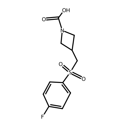 O=C(O)N1CC(CS(=O)(=O)c2ccc(F)cc2)C1